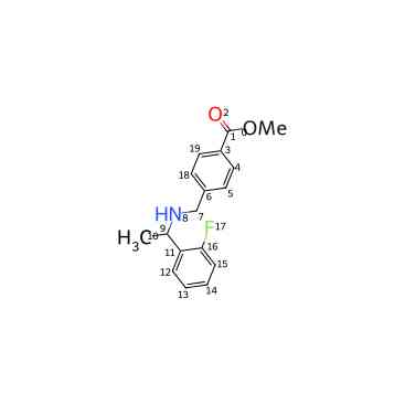 COC(=O)c1ccc(CNC(C)c2ccccc2F)cc1